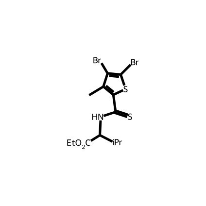 CCOC(=O)C(NC(=S)c1sc(Br)c(Br)c1C)C(C)C